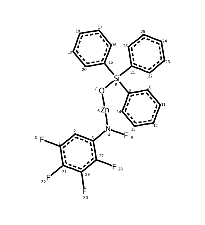 Fc1cc([N](F)[Zn][O][Si](c2ccccc2)(c2ccccc2)c2ccccc2)c(F)c(F)c1F